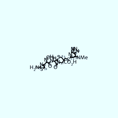 CNc1cc(SCC2(C(=O)O)CS[C@@H]3C(NC(=O)C(=NO)c4csc(N)n4)C(=O)N3C2)nn2nnnc12